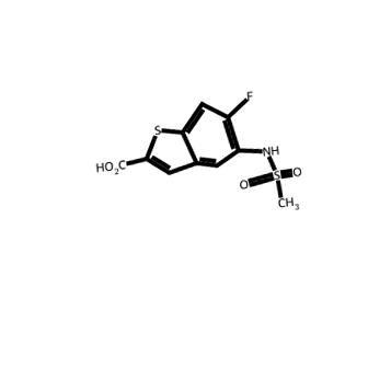 CS(=O)(=O)Nc1cc2cc(C(=O)O)sc2cc1F